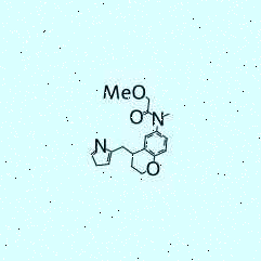 COCC(=O)N(C)c1ccc2c(c1)C(CC1=CCC=N1)CCO2